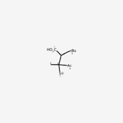 CCCCC(C(=O)O)C(C)(S)C(C)=O